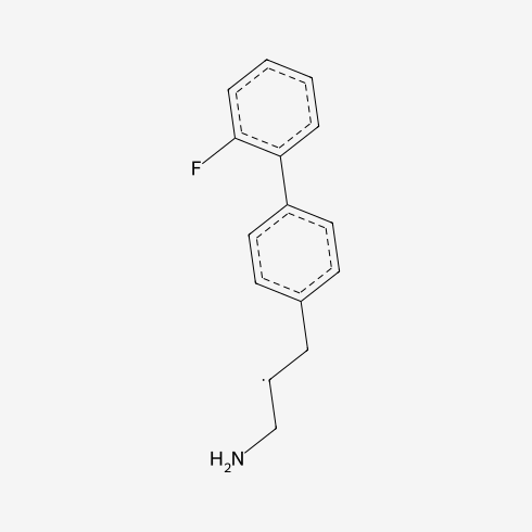 NC[CH]Cc1ccc(-c2ccccc2F)cc1